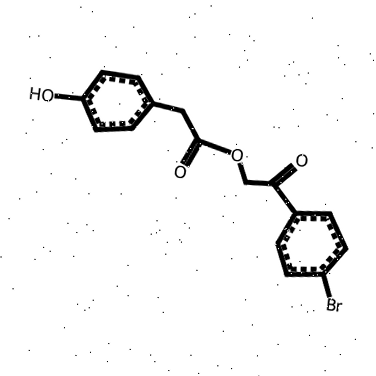 O=C(Cc1ccc(O)cc1)OCC(=O)c1ccc(Br)cc1